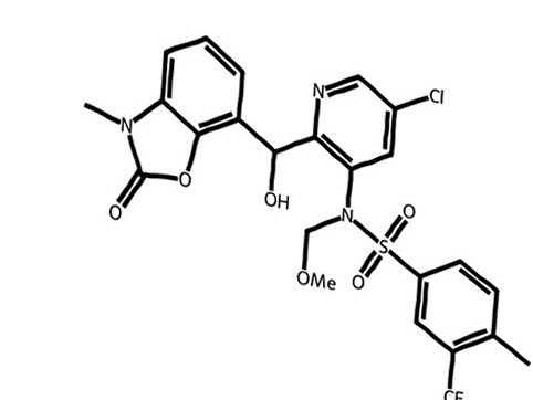 COCN(c1cc(Cl)cnc1C(O)c1cccc2c1oc(=O)n2C)S(=O)(=O)c1ccc(C)c(C(F)(F)F)c1